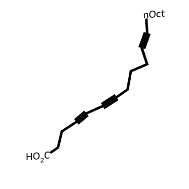 CCCCCCCCC#CCCCC#CC#CCCC(=O)O